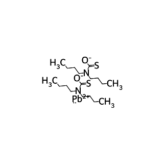 CCCCN(CCCC)C([O-])=S.CCCCN(CCCC)C([O-])=S.[Pb+2]